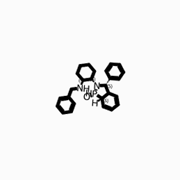 O=[PH]1[C@H]2C=CC=CC2[C@@H](c2ccccc2)N1[C@H]1CCCC[C@@H]1NCc1ccccc1